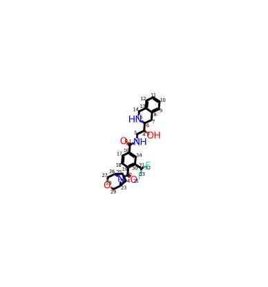 O=C(NCC(O)C1Cc2ccccc2CN1)c1ccc(C(=O)N2C3CCC2COC3)c(C(F)F)c1